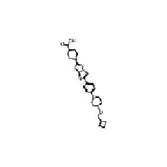 O=C(O)C1CCN(c2nn3cc(-c4ccc(N5CCC(OCC6CCC6)CC5)cc4)nc3s2)CC1